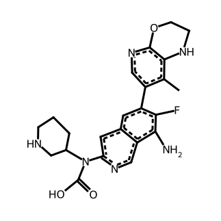 Cc1c(-c2cc3cc(N(C(=O)O)C4CCCNC4)ncc3c(N)c2F)cnc2c1NCCO2